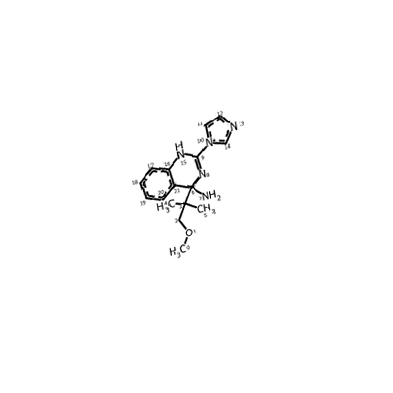 COCC(C)(C)C1(N)N=C(n2ccnc2)Nc2ccccc21